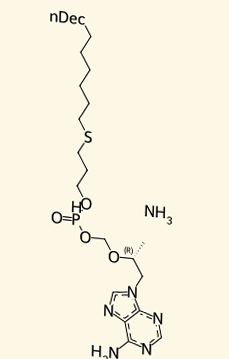 CCCCCCCCCCCCCCCCSCCCO[PH](=O)OCO[C@H](C)Cn1cnc2c(N)ncnc21.N